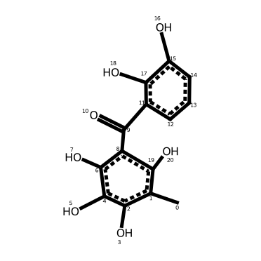 Cc1c(O)c(O)c(O)c(C(=O)c2cccc(O)c2O)c1O